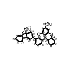 CC(C)(C)c1cc2c3c(c1)Oc1c(cccc1-c1cc(C(C)(C)C)c4sc5ccccc5c4c1)B3c1ccccc1O2